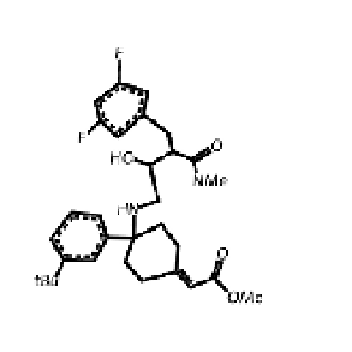 CNC(=O)C(Cc1cc(F)cc(F)c1)C(O)CNC1(c2cccc(C(C)(C)C)c2)CCC(=CC(=O)OC)CC1